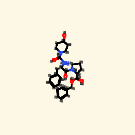 O=C1CCN(C(=O)N[C@@H](Cc2ccccc2)C(=O)N2CCC[C@H]2C(=O)OCc2ccccc2)CC1